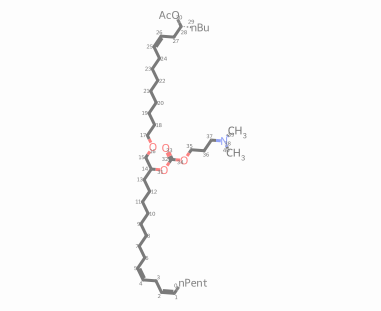 CCCCC/C=C\C/C=C\CCCCCCCCC(COCCCCCCCC/C=C\C[C@@H](CCCC)OC(C)=O)OC(=O)OCCCN(C)C